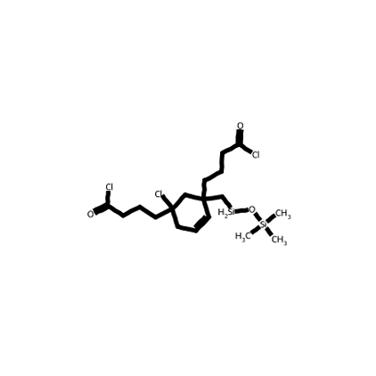 C[Si](C)(C)O[SiH2]CC1(CCCC(=O)Cl)C=CCC(Cl)(CCCC(=O)Cl)C1